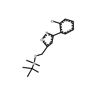 CC(C)(C)[Si](C)(C)OCc1[c]c(-c2ccccc2Cl)no1